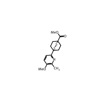 COC(=O)C12CCC(c3ccc(OC)c(C)n3)(CC1)CC2